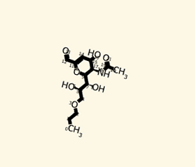 CCCOC[C@@H](O)[C@@H](O)C1OC(C=O)=CC(O)[C@H]1NC(C)=O